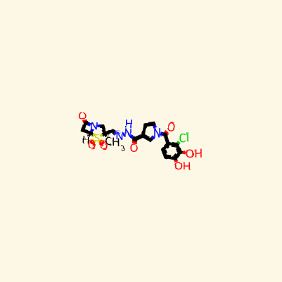 C[C@]1(/C=N/NC(=O)C2CCN(C(=O)c3ccc(O)c(O)c3Cl)C2)CN2C(=O)C[C@H]2S1(=O)=O